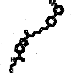 O=C(NCCCl)c1ccc2cn(C(=O)CCCCCN3CCN(c4cccc(C(F)(F)F)c4)CC3)cc2c1